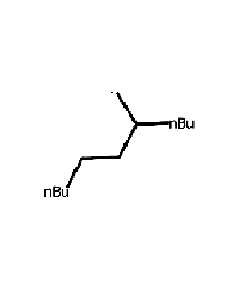 [CH2]C(CCCC)CCCCCC